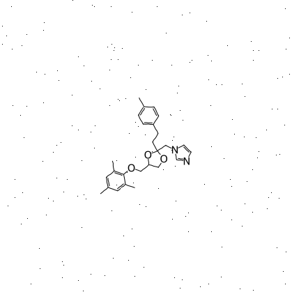 Cc1ccc(CCC2(Cn3ccnc3)OCC(COc3c(C)cc(C)cc3C)O2)cc1